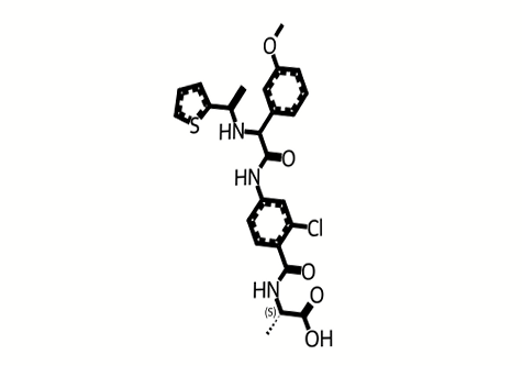 C=C(NC(C(=O)Nc1ccc(C(=O)N[C@@H](C)C(=O)O)c(Cl)c1)c1cccc(OC)c1)c1cccs1